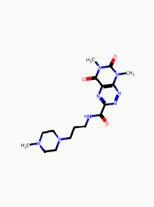 CN1CCN(CCCNC(=O)c2nnc3c(n2)c(=O)n(C)c(=O)n3C)CC1